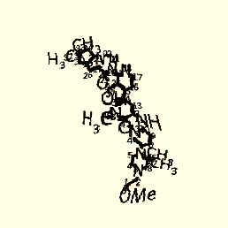 COCCN1CCN(c2ccc(Nc3cc(-c4ccnc(-n5ncn6c7c(cc6c5=O)CC(C)(C)C7)c4CO)cn(C)c3=O)nc2)C(C)(C)C1